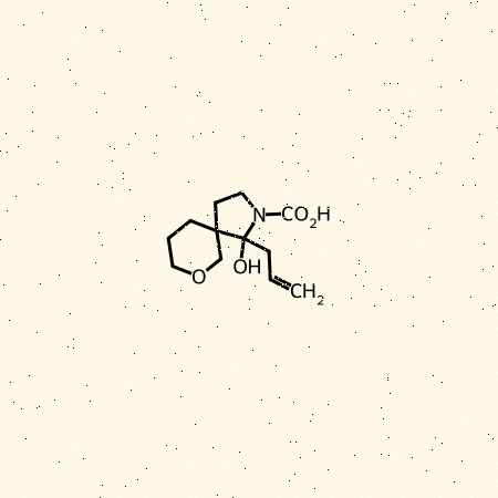 C=CCC1(O)N(C(=O)O)CCC12CCCOC2